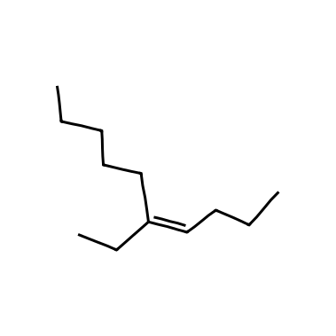 CCCC=C(CC)CCCCC